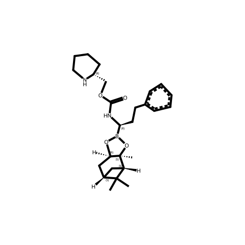 CC1(C)[C@@H]2C[C@H]3OB([C@H](CCc4ccccc4)NC(=O)OC[C@H]4CCCCN4)O[C@@]3(C)[C@H]1C2